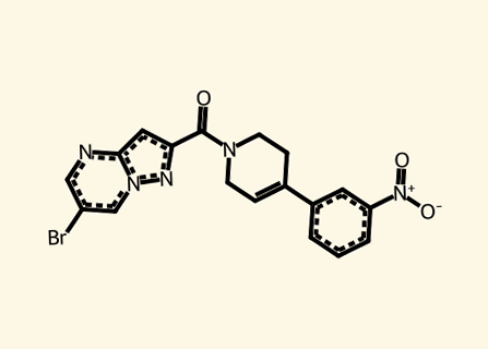 O=C(c1cc2ncc(Br)cn2n1)N1CC=C(c2cccc([N+](=O)[O-])c2)CC1